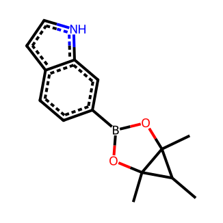 CC1C2(C)OB(c3ccc4cc[nH]c4c3)OC12C